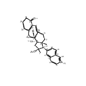 CC(=O)OC1(C)C[C@H]2[C@@H]3OC4=C(C=C3CC[C@]2(C)[C@H]1c1ccc2cnccc2c1)C(=O)CCC4